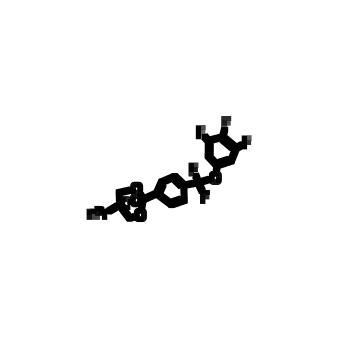 CCCC12COC(c3ccc(C(F)(F)Oc4cc(F)c(F)c(F)c4)cc3)(OC1)OC2